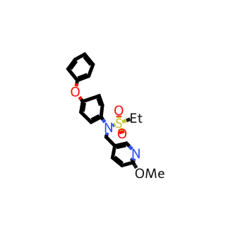 CCS(=O)(=O)N(Cc1ccc(OC)nc1)c1ccc(Oc2ccccc2)cc1